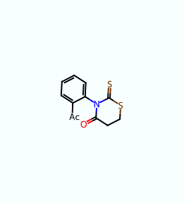 CC(=O)c1ccccc1N1C(=O)CCSC1=S